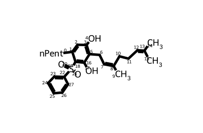 CCCCCc1cc(O)c(CC=C(C)CCC=C(C)C)c(O)c1S(=O)(=O)c1ccccc1